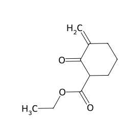 C=C1CCCC(C(=O)OCC)C1=O